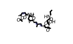 CCCNC(=O)C[C@]1(O)C[C@@]2(CO2)C[C@@H](/C=C/C(C)=C/C[C@@H]2O[C@H](C)[C@H](NC(=O)/C=C\[C@H](C)OC(C)=O)C[C@@H]2C)O1